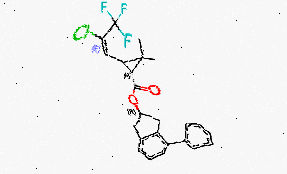 CC1(C)C(/C=C(/Cl)C(F)(F)F)[C@H]1C(=O)O[C@@H]1Cc2cccc(-c3ccccc3)c2C1